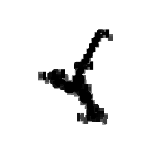 CCCCCCCCCCCCNC(=O)/C=C/c1ccc(-c2[nH]c(-c3ccc(/C=C/C(=O)OC(C)(C)C)cc3)nc2-c2ccc(OCC(=O)OC(C)(C)C)cc2)cc1